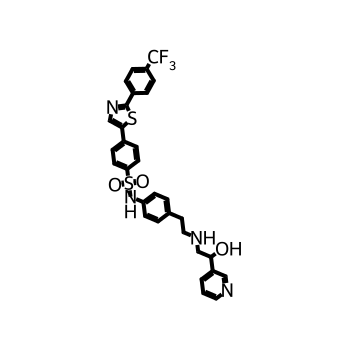 O=S(=O)(Nc1ccc(CCNCC(O)c2cccnc2)cc1)c1ccc(-c2cnc(-c3ccc(C(F)(F)F)cc3)s2)cc1